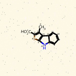 Cc1c(C(=O)O)sc2[nH]c3ccccc3c12